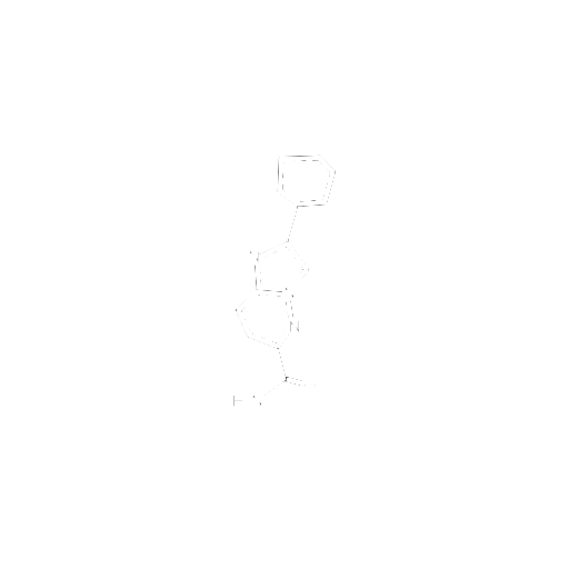 NC(=O)c1ccc2nc(-c3ccccc3)cn2n1